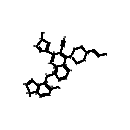 CC=CN1CCN(c2c(C#N)c(-c3cnn(C)c3)nc3c(Oc4c(C)ccc5[nH]ncc45)cccc23)CC1